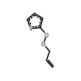 C=CCOOc1cccs1